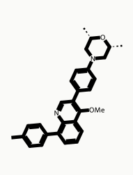 COc1c(-c2ccc(N3C[C@@H](C)O[C@@H](C)C3)cc2)cnc2c(-c3ccc(C)cc3)cccc12